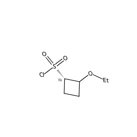 CCOC1CC[C@@H]1S(=O)(=O)Cl